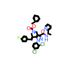 CC(NC(=O)c1nn(-c2ccc(Cl)cc2Cl)c2c1CN(C(=O)OCc1ccccc1)CC2=Cc1ccc(F)cc1)c1ccccn1